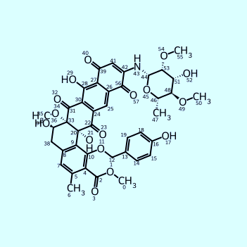 COC(=O)c1c(C)cc2c(c1OCc1ccc(O)cc1)[C@]1(O)C(=O)c3cc4c(c(O)c3C(=O)[C@]1(OC)[C@H](O)C2)C(=O)C=C(N[C@H]1O[C@@H](C)[C@H](OC)[C@@H](O)[C@H]1OC)C4=O